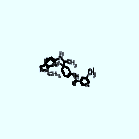 Cc1cncc(C(=O)NC2=CC=C[C@](F)(C(C)Nc3cnc4cnn(C)c4n3)C2)c1